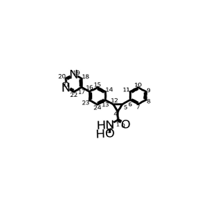 O=C(NO)C1C(c2ccccc2)C1c1ccc(-c2cncnc2)cc1